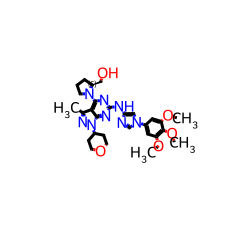 COc1cc(-n2cnc(Nc3nc(N4CCC[C@H]4CO)c4c(C)nn(C5CCOCC5)c4n3)c2)cc(OC)c1OC